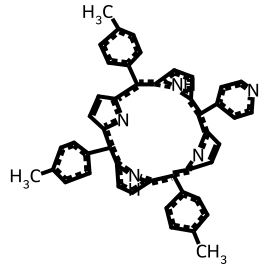 Cc1ccc(-c2c3nc(c(-c4ccc(C)cc4)c4ccc([nH]4)c(-c4ccc(C)cc4)c4nc(c(-c5ccncc5)c5ccc2[nH]5)C=C4)C=C3)cc1